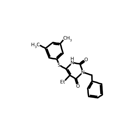 CCc1c(Sc2cc(C)cc(C)c2)[nH]c(=O)n(Cc2ccccc2)c1=O